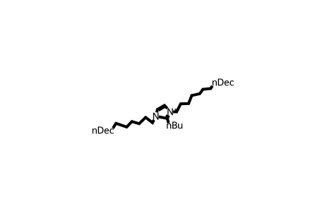 CCCCCCCCCCCCCCCCC[n+]1ccn(CCCCCCCCCCCCCCCC)c1CCCC